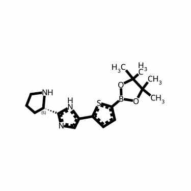 CC1(C)OB(c2ccc(-c3cnc([C@@H]4CCCN4)[nH]3)s2)OC1(C)C